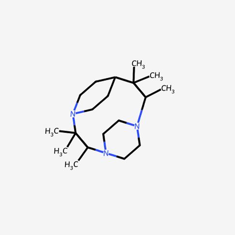 CC1N2CCN(CC2)C(C)C(C)(C)N2CCC(CC2)C1(C)C